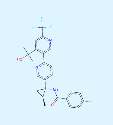 C[C@H]1C[C@@]1(NC(=O)c1ccc(F)cc1)c1ccc(-c2cnc(C(F)(F)F)cc2C(C)(C)O)nc1